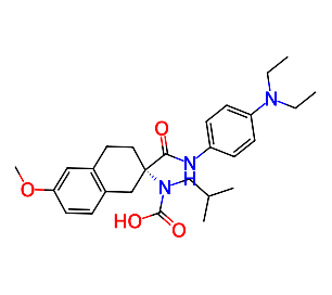 CCN(CC)c1ccc(NC(=O)[C@]2(N(CC(C)C)C(=O)O)CCc3cc(OC)ccc3C2)cc1